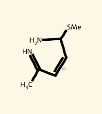 CSC(N)/C=C\C(C)=N